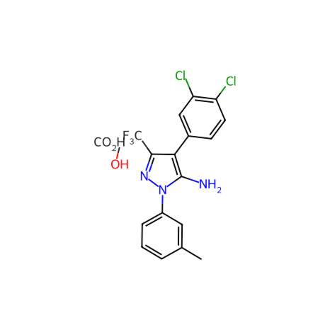 Cc1cccc(-n2nc(C(F)(F)F)c(-c3ccc(Cl)c(Cl)c3)c2N)c1.O=C(O)O